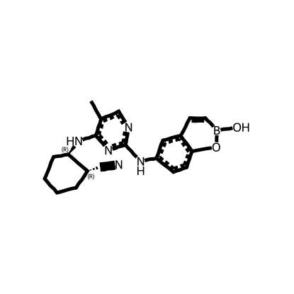 Cc1cnc(Nc2ccc3c(c2)C=CB(O)O3)nc1N[C@@H]1CCCC[C@H]1C#N